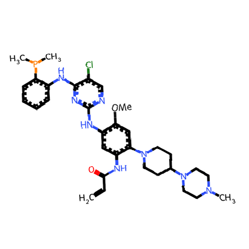 C=CC(=O)Nc1cc(Nc2ncc(Cl)c(Nc3ccccc3P(C)C)n2)c(OC)cc1N1CCC(N2CCN(C)CC2)CC1